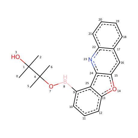 CC(C)(O)C(C)(C)OBc1cccc2oc3cc4ccccc4nc3c12